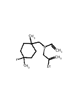 C=CN(CC(=C)CC)CC1(C)CCC(C)(F)CC1